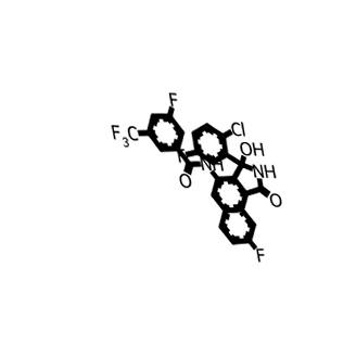 O=C(Nc1cc2ccc(F)cc2c2c1C(O)(c1cc(F)ccc1Cl)NC2=O)c1cc(F)cc(C(F)(F)F)c1